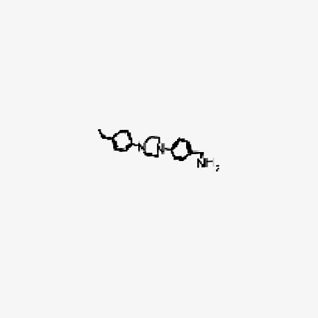 CCc1ccc(N2CCN(c3ccc(CN)cc3)CC2)cc1